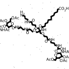 CC(=O)NC1C(OC(C)=O)[C@H](OC(C)=O)C(COC(C)=O)O[C@H]1ONCCCNC(=O)CCOCC(COCCC(=O)NCCCN)(COCCC(=O)NCCCNC(O)O[C@@H]1OC(COC(C)=O)[C@@H](OC(C)=O)C(OC(C)=O)C1NC(C)=O)NC(=O)CCCCCCCCCCC(=O)O